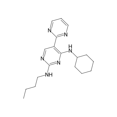 CCCCNc1ncc(-c2ncccn2)c(NC2CCCCC2)n1